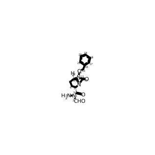 NN(C=O)C(=O)[C@@H]1CC[C@@H]2CN1C(=O)N2OCc1ccccc1